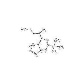 CCCC(C)c1nc(C(C)(C)C)nc2nc[nH]c12